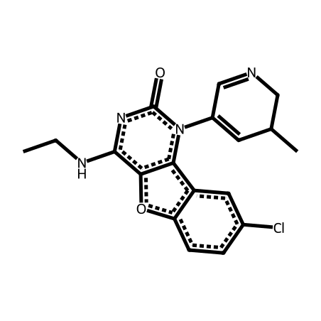 CCNc1nc(=O)n(C2=CC(C)CN=C2)c2c1oc1ccc(Cl)cc12